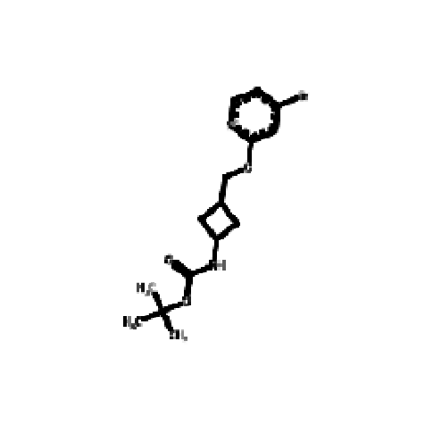 CC(C)(C)OC(=O)NC1CC(COc2cc(Br)ccn2)C1